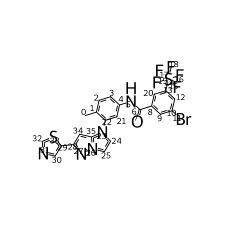 Cc1ccc(NC(=O)c2cc(Br)cc(S(F)(F)(F)(F)F)c2)cc1-n1ccn2nc(-c3cncs3)cc12